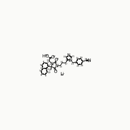 CC1(c2cccc3ccccc23)C(=O)N(CCCc2cncn2Cc2ccc(C#N)cc2)C(=O)N1CC(=O)O.[Li]